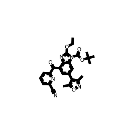 CCOc1nc2c(C(=O)c3cccc(C#N)n3)cc(-c3c(C)noc3C)cc2n1C(=O)OC(C)(C)C